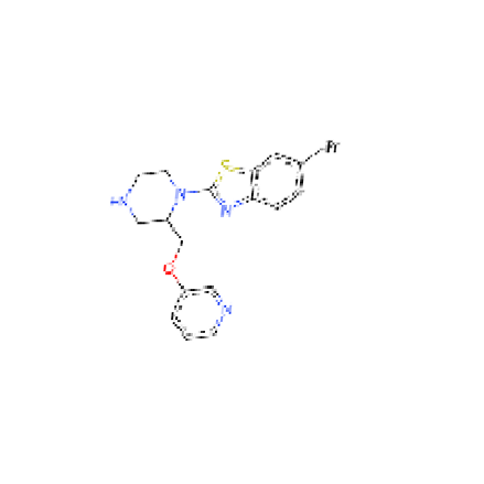 CC(C)c1ccc2nc(N3CCNCC3COc3cccnc3)sc2c1